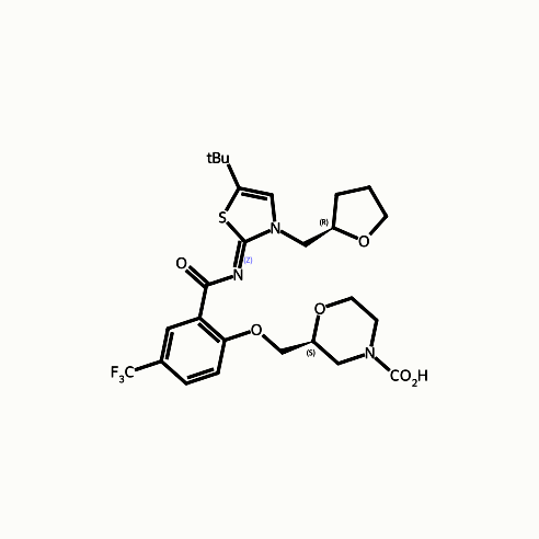 CC(C)(C)c1cn(C[C@H]2CCCO2)/c(=N/C(=O)c2cc(C(F)(F)F)ccc2OC[C@@H]2CN(C(=O)O)CCO2)s1